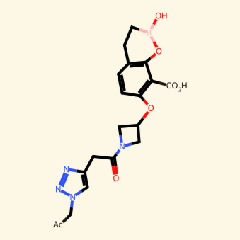 CC(=O)Cn1cc(CC(=O)N2CC(Oc3ccc4c(c3C(=O)O)OB(O)CC4)C2)nn1